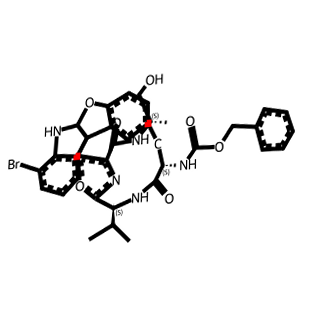 CC(C)[C@@H]1NC(=O)[C@@H](NC(=O)OCc2ccccc2)Cc2ccc3c(c2)C2(c4cccc(Br)c4NC2O3)c2oc1nc2C(=O)N[C@@H](C)CO